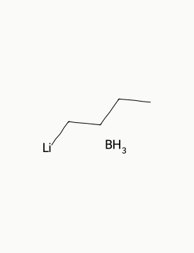 B.[Li][CH2]CCC